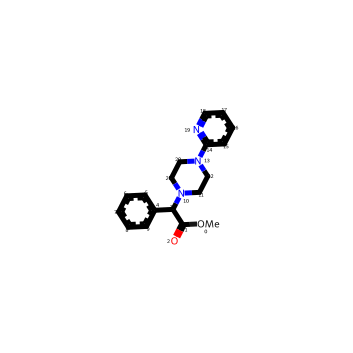 COC(=O)C(c1ccccc1)N1CCN(c2ccccn2)CC1